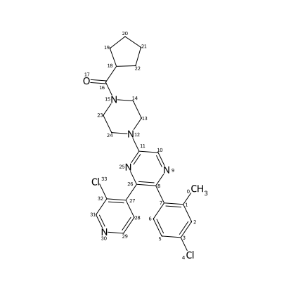 Cc1cc(Cl)ccc1-c1ncc(N2CCN(C(=O)C3CCCC3)CC2)nc1-c1ccncc1Cl